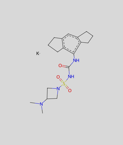 CN(C)C1CN(S(=O)(=O)NC(=O)Nc2c3c(cc4c2CCC4)CCC3)C1.[K]